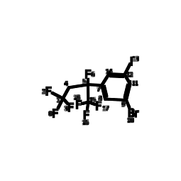 FC(F)(F)CC(F)(c1cc(Br)[c]c(I)c1)C(F)(F)F